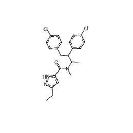 CCc1cc(C(=O)N(C)C(C)C(Cc2ccc(Cl)cc2)c2ccc(Cl)cc2)[nH]n1